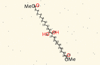 COC(=O)CCCCCCCCCCCCC(O)C(O)CCCCCCCCCCCC(=O)OC